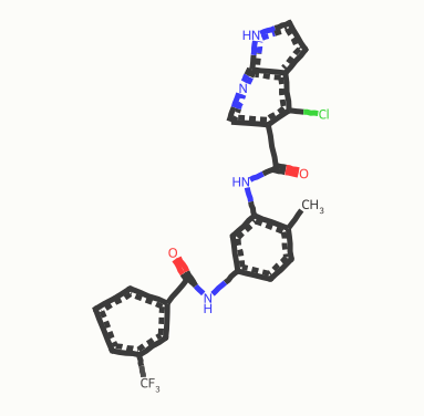 Cc1ccc(NC(=O)c2cccc(C(F)(F)F)c2)cc1NC(=O)c1cnc2[nH]ccc2c1Cl